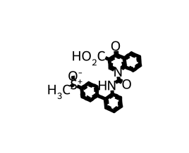 C[S+]([O-])c1ccc(-c2ccccc2NC(=O)n2cc(C(=O)O)c(=O)c3ccccc32)cc1